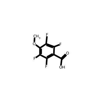 COc1c(F)c(F)c(C(=O)O)c(F)c1F